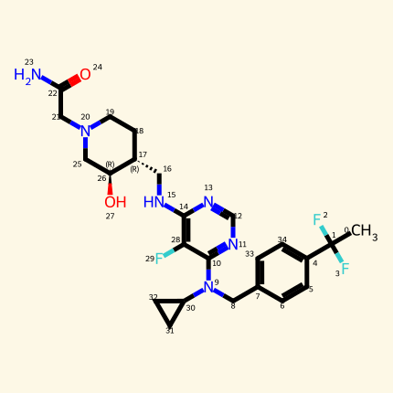 CC(F)(F)c1ccc(CN(c2ncnc(NC[C@H]3CCN(CC(N)=O)C[C@@H]3O)c2F)C2CC2)cc1